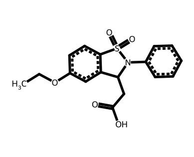 CCOc1ccc2c(c1)C(CC(=O)O)N(c1ccccc1)S2(=O)=O